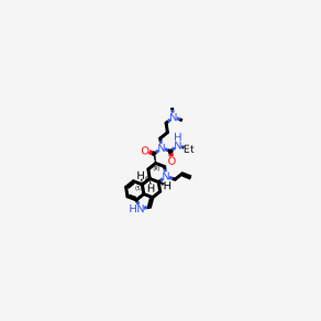 C=CCN1C[C@H](C(=O)N(CCCN(C)C)C(=O)NCC)C[C@@H]2[C@@H]3C=CC=C4NC=C(C[C@H]21)C43